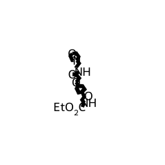 CCOC(=O)NCC(=O)c1ccc(OCC(=O)NCCN2CCOCC2)cc1